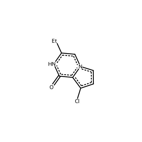 CCc1cn2ccc(Cl)c2c(=O)[nH]1